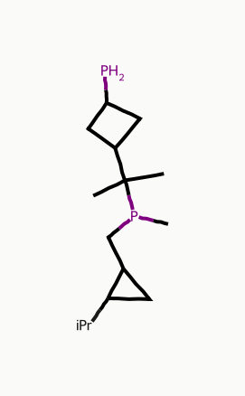 CC(C)C1CC1CP(C)C(C)(C)C1CC(P)C1